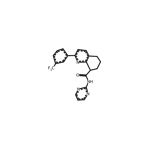 O=C(Nc1ncccn1)C1CCCc2ccc(-c3cccc(C(F)(F)F)c3)nc21